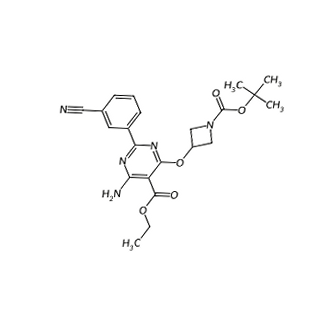 CCOC(=O)c1c(N)nc(-c2cccc(C#N)c2)nc1OC1CN(C(=O)OC(C)(C)C)C1